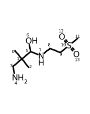 CC(C)(CN)C(O)NCCS(C)(=O)=O